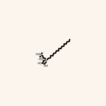 CCCCCCCCCCCCCCCCCC[N+](CCO)(CCO)CC(O)CS(=O)(=O)O